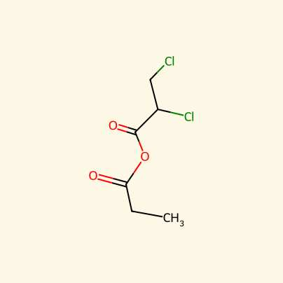 CCC(=O)OC(=O)C(Cl)CCl